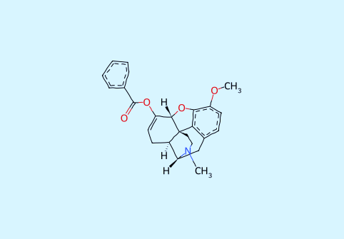 COc1ccc2c3c1O[C@H]1C(OC(=O)c4ccccc4)=CC[C@@H]4[C@@H](C2)N(C)CC[C@@]341